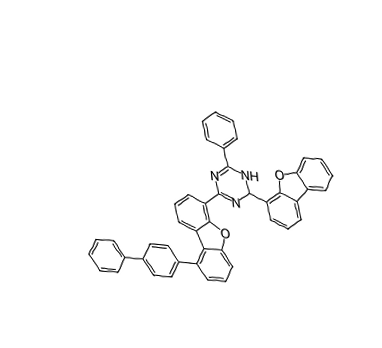 c1ccc(C2=NC(c3cccc4c3oc3cccc(-c5ccc(-c6ccccc6)cc5)c34)=NC(c3cccc4c3oc3ccccc34)N2)cc1